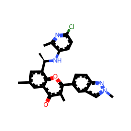 Cc1cc([C@@H](C)Nc2ccc(Cl)nc2C)c2oc(-c3ccc4nn(C)cc4c3)c(C)c(=O)c2c1